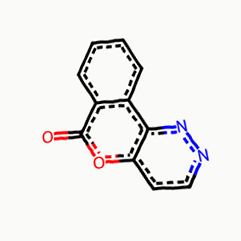 O=c1oc2ccnnc2c2ccccc12